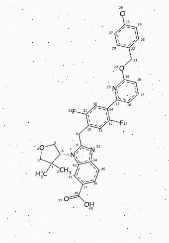 CC1(C)COC[C@@H]1n1c(Cc2cc(F)c(-c3cccc(OCc4ccc(Cl)cc4)n3)cc2F)nc2ccc(C(=O)O)cc21